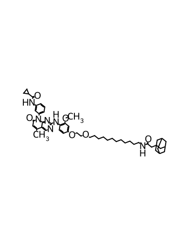 COc1cc(OCCOCCCCCCCCCCCCNC(=O)CC23CC4CC(CC(C4)C2)C3)ccc1Nc1ncc2c(C)cc(=O)n(-c3cccc(NC(=O)C4CC4)c3)c2n1